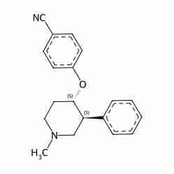 CN1CC[C@H](Oc2ccc(C#N)cc2)[C@@H](c2ccccc2)C1